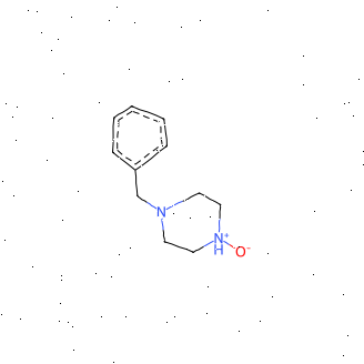 [O-][NH+]1CCN(Cc2ccccc2)CC1